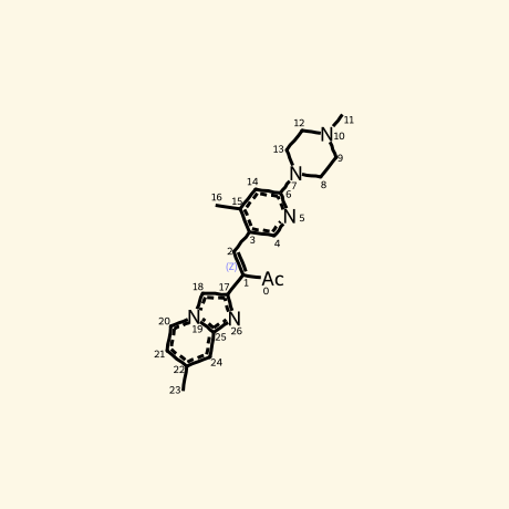 CC(=O)/C(=C\c1cnc(N2CCN(C)CC2)cc1C)c1cn2ccc(C)cc2n1